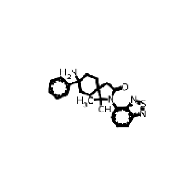 CC1(C)N(c2cccc3nsnc23)C(=O)CC12CCC(N)(c1ccccc1)CC2